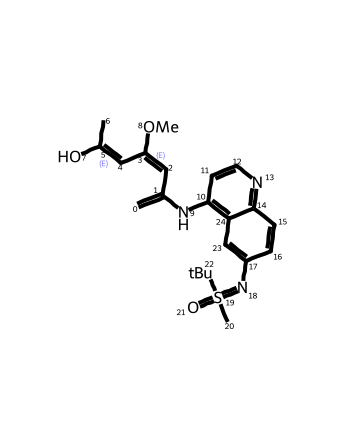 C=C(/C=C(\C=C(/C)O)OC)Nc1ccnc2ccc(N=S(C)(=O)C(C)(C)C)cc12